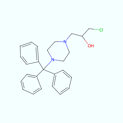 OC(CCl)CN1CCN(C(c2ccccc2)(c2ccccc2)c2ccccc2)CC1